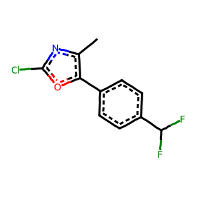 Cc1nc(Cl)oc1-c1ccc(C(F)F)cc1